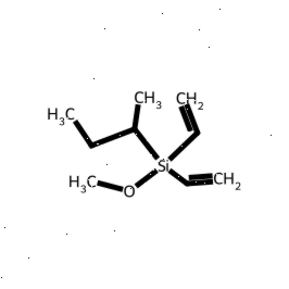 C=C[Si](C=C)(OC)C(C)CC